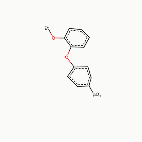 CCOc1ccccc1Oc1ccc([N+](=O)[O-])cc1